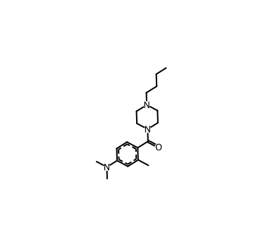 CCCCN1CCN(C(=O)c2ccc(N(C)C)cc2C)CC1